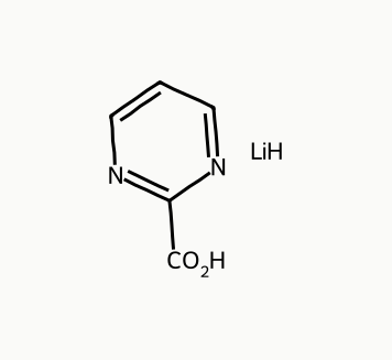 O=C(O)c1ncccn1.[LiH]